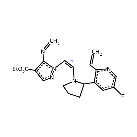 C=Cc1ncc(F)cc1C1CCCN1/C=C\n1ncc(C(=O)OCC)c1N=C